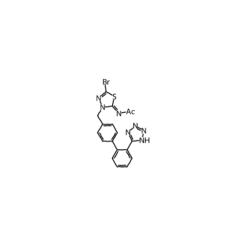 CC(=O)N=c1sc(Br)nn1Cc1ccc(-c2ccccc2-c2nnn[nH]2)cc1